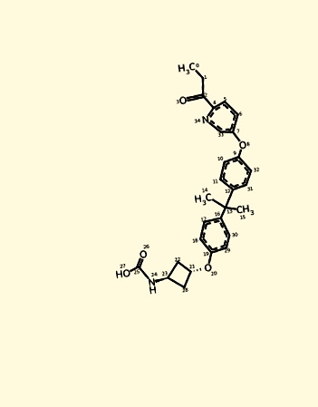 CCC(=O)c1ccc(Oc2ccc(C(C)(C)c3ccc(O[C@H]4C[C@H](NC(=O)O)C4)cc3)cc2)cn1